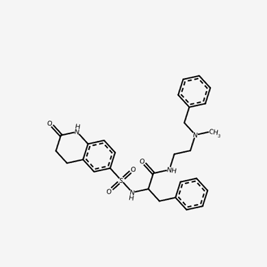 CN(CCNC(=O)C(Cc1ccccc1)NS(=O)(=O)c1ccc2c(c1)CCC(=O)N2)Cc1ccccc1